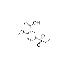 CCS(=O)(=O)c1ccc(OC)c(C(=O)O)c1